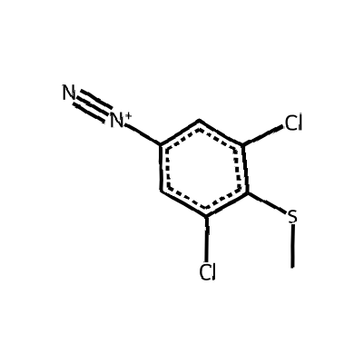 CSc1c(Cl)cc([N+]#N)cc1Cl